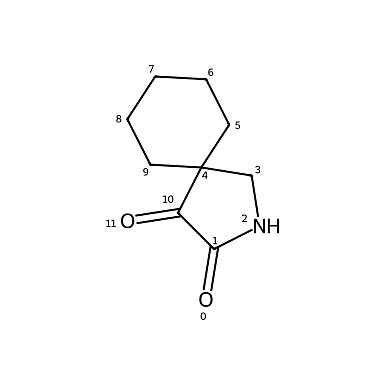 O=C1NCC2(CCCCC2)C1=O